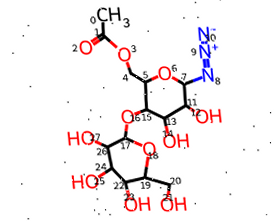 CC(=O)OCC1OC(N=[N+]=[N-])C(O)C(O)C1OC1OC(CO)C(O)C(O)C1O